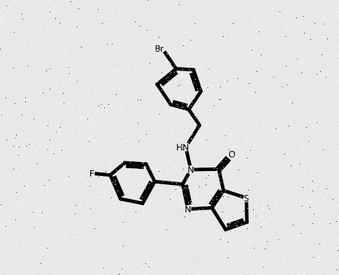 O=c1c2sccc2nc(-c2ccc(F)cc2)n1NCc1ccc(Br)cc1